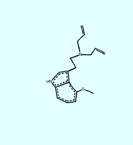 C=CCN(CC=C)CCc1c[nH]c2cccc(OC)c12